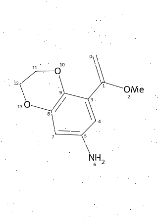 C=C(OC)c1cc(N)cc2c1OCCO2